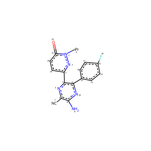 CC(C)n1nc(-c2nc(C#N)c(N)nc2-c2ccc(F)cc2)ccc1=O